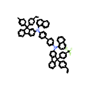 C=Cc1ccc(C2(c3ccc(C)cc3)c3ccccc3-c3ccc(N(c4ccc(-c5ccc(N(c6ccc7c(c6)C(c6ccc(C=C)cc6)(c6ccc(C(F)(F)F)cc6)c6ccccc6-7)c6cccc7ccccc67)cc5)cc4)c4cccc5ccccc45)cc32)cc1